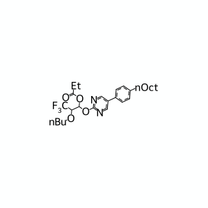 CCCCCCCCc1ccc(-c2cnc(OC(OC(=O)CC)C(OCCCC)C(F)(F)F)nc2)cc1